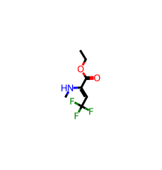 CCOC(=O)C(=CC(F)(F)F)NC